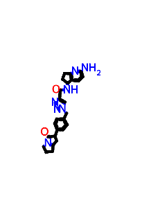 Nc1ccc2c(n1)CCC2NC(=O)c1cn(Cc2ccc(C3CC4CCCN4C3=O)cc2)nn1